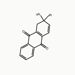 CCCC1(C(C)C)C=CC2=C(C1)C(=O)c1ccccc1C2=O